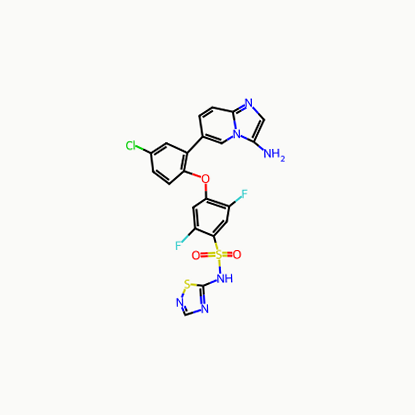 Nc1cnc2ccc(-c3cc(Cl)ccc3Oc3cc(F)c(S(=O)(=O)Nc4ncns4)cc3F)cn12